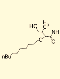 CCCCC=CCCCCCCC(C(N)=O)C(C)CO